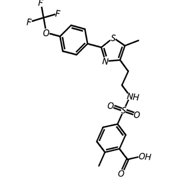 Cc1ccc(S(=O)(=O)NCCc2nc(-c3ccc(OC(F)(F)F)cc3)sc2C)cc1C(=O)O